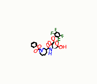 O=C(O)C[C@H](NC(=O)C1CCCCN(C(=O)Oc2ccccc2)C1)C(=O)COc1c(F)c(F)cc(F)c1F